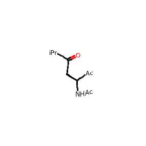 CC(=O)NC(CC(=O)C(C)C)C(C)=O